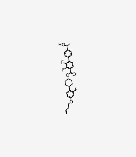 C=CCCOc1ccc(C2CCC(OC(=O)c3ccc(-c4ccc(C(C)O)cc4)c(F)c3F)CC2)c(F)c1